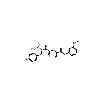 COc1cccc(CNC(=O)CC(=O)NC(Cc2ccc(C)cc2)B(O)O)c1